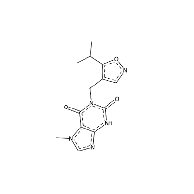 CC(C)c1oncc1Cn1c(=O)[nH]c2ncn(C)c2c1=O